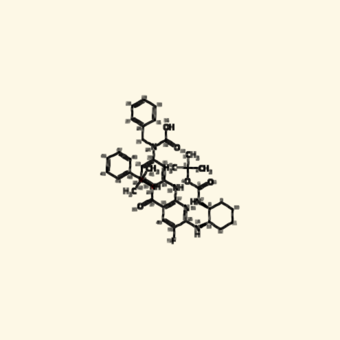 CC(C)(C)OC(=O)N[C@H]1CCCC[C@H]1Nc1nc(Nc2cncc(N(Cc3ccccc3)C(=O)O)c2)c(C(=O)NC(C)(C)c2ccccc2)cc1F